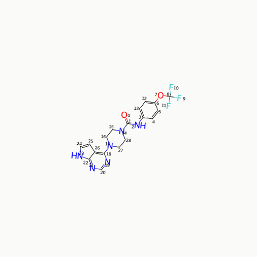 O=C(Nc1ccc(OC(F)(F)F)cc1)N1CCN(c2ncnc3[nH]ccc23)CC1